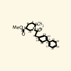 COC(=O)[C@@H]1CC[C@H](C)N(C(=O)Cc2ccc(-c3ccccc3)cc2)C1